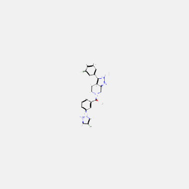 Cn1nc2c(c1-c1cc(F)c(F)c(F)c1)CCN(C(=O)c1cccc(-n3cc(F)cn3)c1)C2